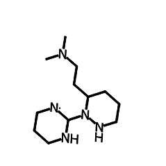 CN(C)CCC1CCCNN1C1[N]CCCN1